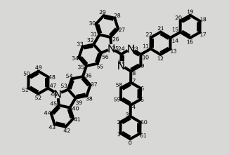 c1ccc(-c2ccc(-c3cc(-c4ccc(-c5ccccc5)cc4)nc(-n4c5ccccc5c5ccc(-c6ccc7c8ccccc8n(-c8ccccc8)c7c6)cc54)n3)cc2)cc1